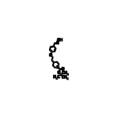 CC(C)(C)OC(=O)N1CCC(CCOc2ccc(C=NO)cc2)CC1